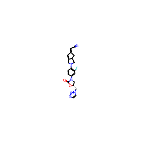 N#CC=C1C=C2CN(c3ccc(N4C[C@H](Cn5ccnn5)OC4=O)cc3F)CC2C1